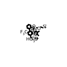 CS(=O)(=O)O.Cc1noc(N(COCC[Si](C)(C)C)S(=O)(=O)c2ccccc2-c2ccc(CO)cc2C(F)(F)F)c1C